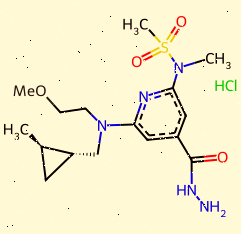 COCCN(C[C@@H]1C[C@H]1C)c1cc(C(=O)NN)cc(N(C)S(C)(=O)=O)n1.Cl